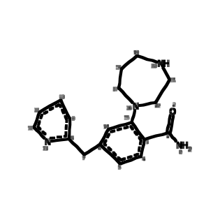 NC(=O)c1ccc(Cc2ccccn2)cc1N1CCCNCC1